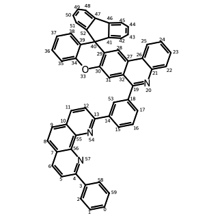 c1ccc(-c2ccc3ccc4ccc(-c5cccc(-c6nc7ccccc7c7cc8c(cc67)Oc6ccccc6C86c7ccccc7-c7ccccc76)c5)nc4c3n2)cc1